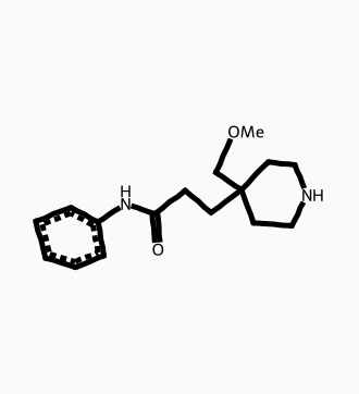 COCC1(CCC(=O)Nc2ccccc2)CCNCC1